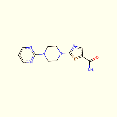 NC(=O)c1cnc(N2CCN(c3ncccn3)CC2)s1